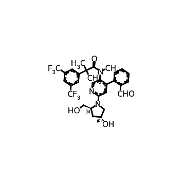 CN(C(=O)C(C)(C)c1cc(C(F)(F)F)cc(C(F)(F)F)c1)c1cnc(N2C[C@H](O)C[C@H]2CO)cc1-c1ccccc1C=O